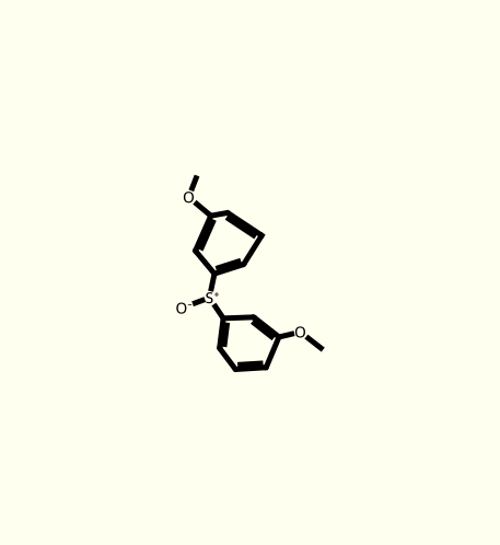 COc1cccc([S+]([O-])c2cccc(OC)c2)c1